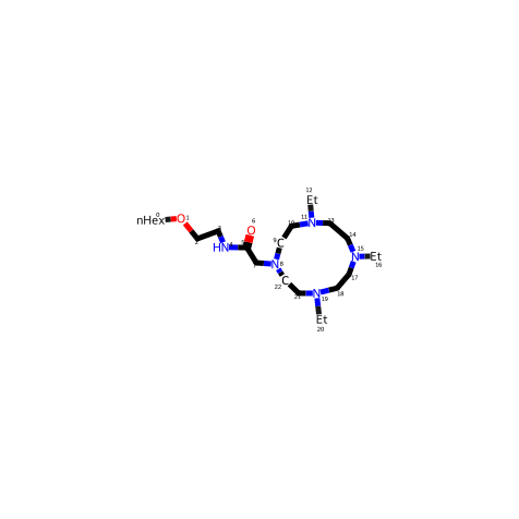 CCCCCCOCCNC(=O)CN1CCN(CC)CCN(CC)CCN(CC)CC1